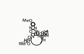 COc1ccc2nc(C(C)C)c(O[C@@H]3C[C@H]4C(=O)N[C@]5(C(=O)NS(=O)(=O)C6(C)CC6)C[C@H]5/C=C\CCCCC[C@H](NC(=O)OC(C)(C)C)C(=O)N4C3)nc2c1